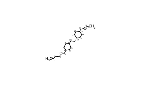 CCCCOCC1CCC(CC[C@H]2CC[C@H](COCC)CC2)CC1